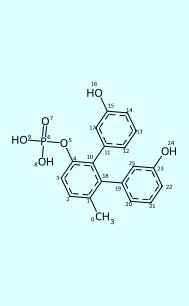 Cc1ccc(OP(=O)(O)O)c(-c2cccc(O)c2)c1-c1cccc(O)c1